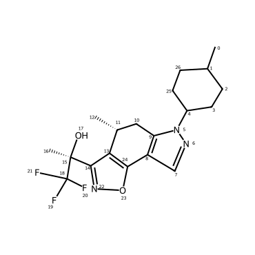 CC1CCC(n2ncc3c2C[C@@H](C)c2c([C@](C)(O)C(F)(F)F)noc2-3)CC1